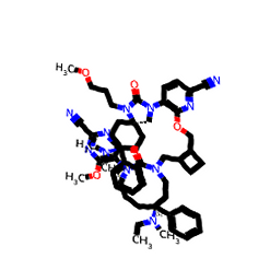 CCN(C)[C@@]1(c2ccccc2)CCCN(c2cnc(C#N)nc2OC)C(=O)N(CC2CCC2COc2nc(C#N)ccc2N2C[C@]3(CC[C@](c4ccccc4)(N(C)C)CC3)N(CCCOC)C2=O)CC1